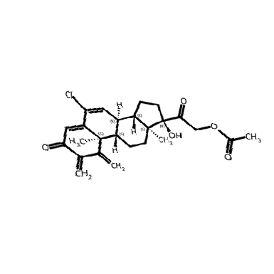 C=C1C(=C)[C@@]2(C)C(=CC1=O)C(Cl)=C[C@@H]1[C@@H]2CC[C@@]2(C)[C@H]1CC[C@]2(O)C(=O)COC(C)=O